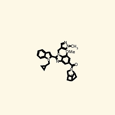 COc1cc(C(=O)N2CC3CC4CC2[C@H]43)cc2nc(-c3cc4ccccc4n3CC3CC3)n(Cc3cnn(C)c3)c12